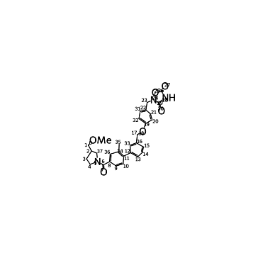 COCC1CCN(C(=O)c2ccc(-c3cccc(COc4ccc(Cn5oc(=O)[nH]c5=O)cc4)c3)c(C)c2)C1